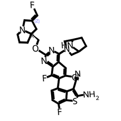 N#Cc1c(N)sc2c(F)ccc(-c3c(Cl)cc4c(N5CC6CCC(C5)N6)nc(OC[C@@]56CCCN5C/C(=C\F)C6)nc4c3F)c12